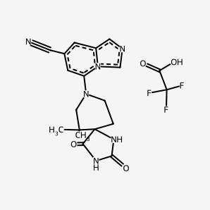 CC1(C)CN(c2cc(C#N)cc3cncn23)CCC12NC(=O)NC2=O.O=C(O)C(F)(F)F